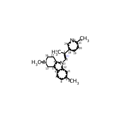 C/C(=C\n1c2c(c3ccc(C)cc31)CN(C)CC2)c1ccc(C)nc1